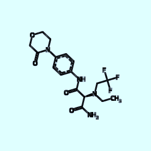 CCN(CC(F)(F)F)[C@@H](C(N)=O)C(=O)Nc1ccc(N2CCOCC2=O)cc1